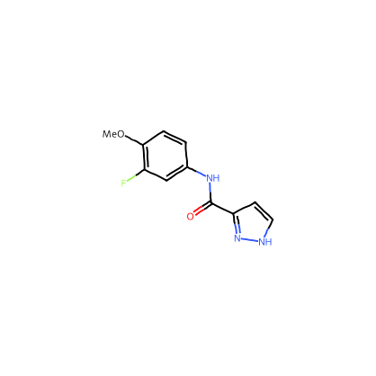 COc1ccc(NC(=O)c2cc[nH]n2)cc1F